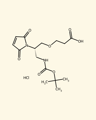 CC(C)(C)OC(=O)NC[C@@H](COCCC(=O)O)N1C(=O)C=CC1=O.Cl